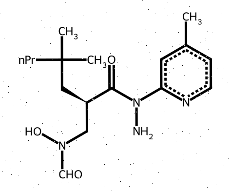 CCCC(C)(C)C[C@H](CN(O)C=O)C(=O)N(N)c1cc(C)ccn1